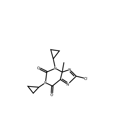 CC12N=C(Cl)N=C1C(=O)N(C1CC1)C(=O)N2C1CC1